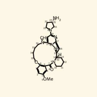 COc1ccc2c(c1)C(=O)N1CCCC[C@H]1c1cc3nc(N4CC[C@H](N)C4)cc(n3n1)N(C)CCCCO2